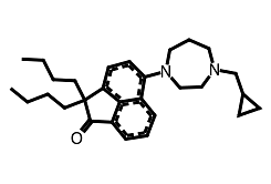 CCCCC1(CCCC)C(=O)c2cccc3c(N4CCCN(CC5CC5)CC4)ccc1c23